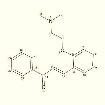 CN(C)CCOc1ccccc1C=CC(=O)c1ccccc1